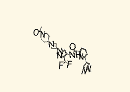 CC(=O)N1CCC(N2CC(n3cc(NC(=O)c4cccc(-c5cnn(C)c5)n4)c(C(F)F)n3)C2)CC1